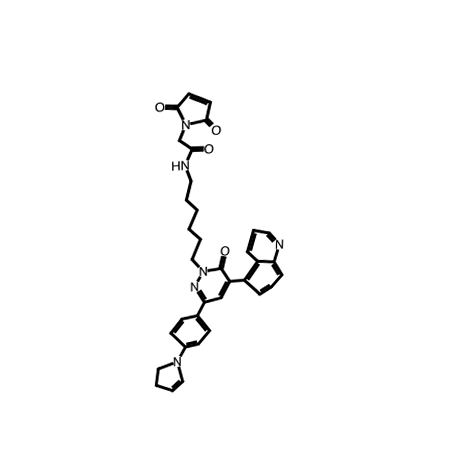 O=C(CN1C(=O)C=CC1=O)NCCCCCCn1nc(-c2ccc(N3C=CCC3)cc2)cc(-c2cccc3ncccc23)c1=O